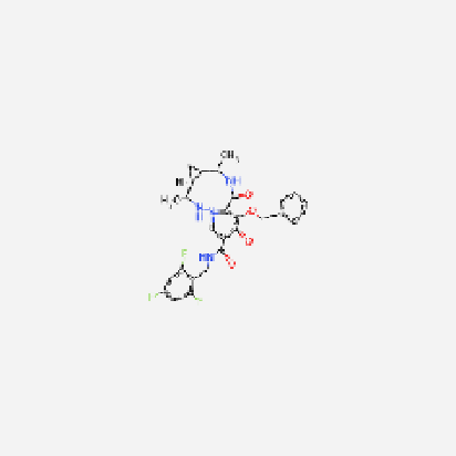 CC1NC(=O)c2c(OCc3ccccc3)c(=O)c(C(=O)NCc3c(F)cc(F)cc3F)cn2N[C@H](C)[C@H]2CC12